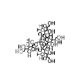 O=C(OCC(COC(=O)[C@H](O)[C@@H](O)[C@H](O)[C@H](O)CO)(COC(=O)[C@H](O)[C@@H](O)[C@H](O)[C@H](O)CO)COC(=O)[C@H](O)[C@@H](O)[C@H](O)[C@H](O)CO)[C@H](O)[C@@H](O)[C@H](O)[C@H](O)CO